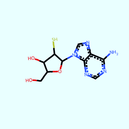 Nc1ncnc2c1ncn2C1OC(CO)C(O)C1S